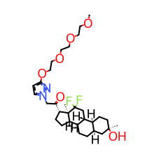 COCCOCCOCCOc1ccn(CC(=O)[C@H]2CC[C@H]3[C@@H]4CC[C@@H]5C[C@](C)(O)CC[C@@H]5[C@H]4CC(F)(F)[C@]23C)n1